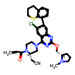 C=CC(=O)N1CCN(c2nc(OC[C@@H]3CCCN3C)nc3cc(-c4cccc5c4SCCC5)c(Cl)cc23)C[C@@H]1CC#N